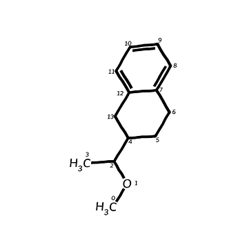 COC(C)C1CCc2ccccc2C1